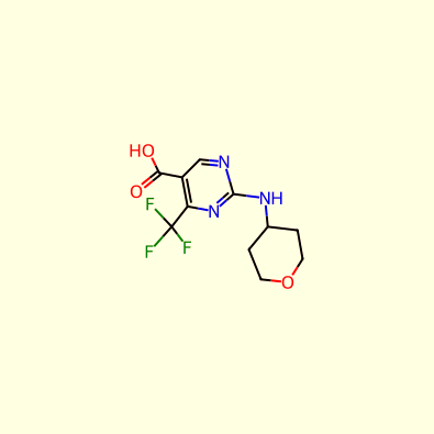 O=C(O)c1cnc(NC2CCOCC2)nc1C(F)(F)F